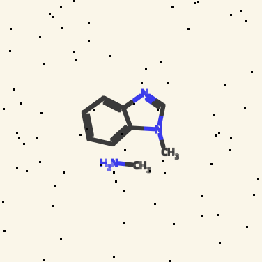 CN.Cn1cnc2ccccc21